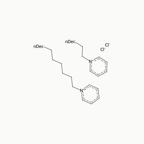 CCCCCCCCCCCCCCCC[n+]1ccccc1.CCCCCCCCCCCC[n+]1ccccc1.[Cl-].[Cl-]